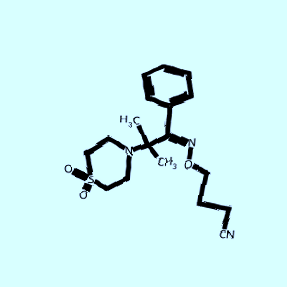 CC(C)(C(=NOCCCC#N)c1ccccc1)N1CCS(=O)(=O)CC1